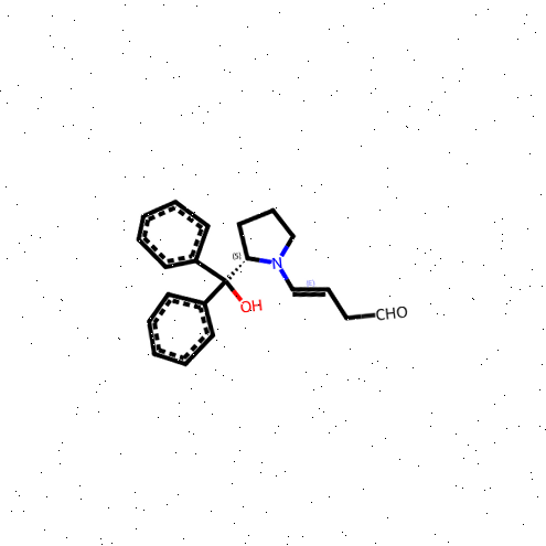 O=CC/C=C/N1CCC[C@H]1C(O)(c1ccccc1)c1ccccc1